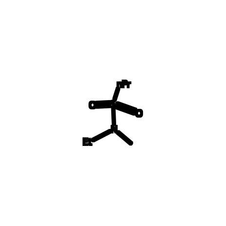 [CH2]CN(C)S(=O)(=O)CCC